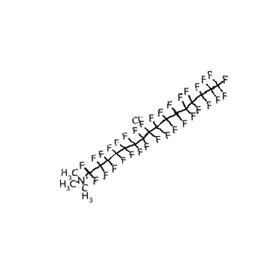 C[N+](C)(C)C(F)(F)C(F)(F)C(F)(F)C(F)(F)C(F)(F)C(F)(F)C(F)(F)C(F)(F)C(F)(F)C(F)(F)C(F)(F)C(F)(F)C(F)(F)C(F)(F)C(F)(F)C(F)(F)F.[Cl-]